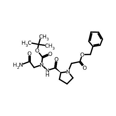 CC(C)(C)OC(=O)N(CC(N)=O)NC(=O)[C@@H]1CCCN1CC(=O)OCc1ccccc1